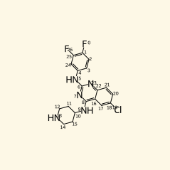 Fc1ccc(Nc2nc(NC3CCNCC3)c3cc(Cl)ccc3n2)cc1F